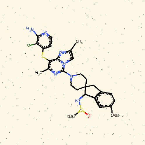 COc1ccc2c(c1)C(N[S+]([O-])C(C)(C)C)C1(CCN(c3nc(C)c(Sc4ccnc(N)c4Cl)c4nc(C)cn34)CC1)C2